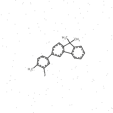 Cc1ccc(-c2ccc3c(c2)-c2ccccc2C3(C)C)cc1F